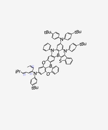 C\C=C/C(=C\C=C\C(C)C)N(c1ccc(C(C)(C)C)cc1)c1cc2c3c(c1)Oc1cc4c(cc1B3c1ccccc1O2)B1c2sc3ccccc3c2N(c2ccc(C(C)(C)C)cc2)c2cc(N(c3ccc(C(C)(C)C)cc3)c3ccc(C(C)(C)C)cc3)cc(c21)N4c1ccccc1